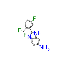 Nc1ccc2nc(-c3cc(F)ccc3C(F)F)[nH]c2c1